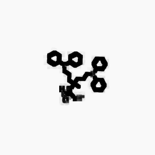 CC([SiH3])(CCCP(c1ccccc1)c1ccccc1)CCCP(c1ccccc1)c1ccccc1.O=[CH][IrH+].[Cl-]